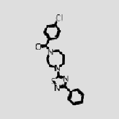 O=C(c1ccc(Cl)cc1)N1CCCN(c2nc(-c3ccccc3)ns2)CC1